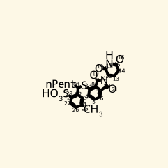 CCCCCC(Sc1cccc2c1C(=O)N(C1CCC(=O)NC1=O)C2=O)c1cc(C)ccc1S(=O)(=O)O